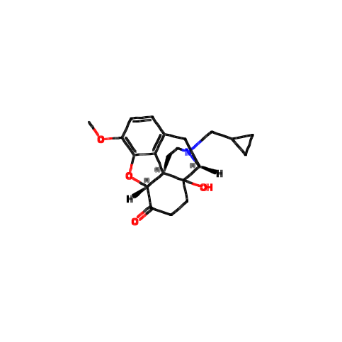 COc1ccc2c3c1O[C@H]1C(=O)CCC4(O)[C@@H](C2)N(CC2CC2)CC[C@]314